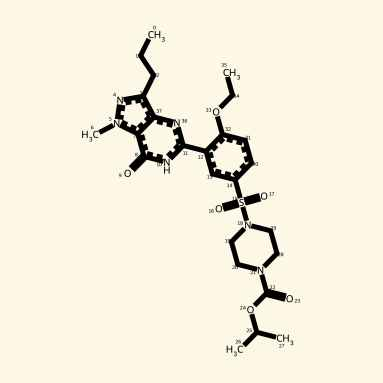 CCCc1nn(C)c2c(=O)[nH]c(-c3cc(S(=O)(=O)N4CCN(C(=O)OC(C)C)CC4)ccc3OCC)nc12